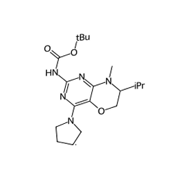 CC(C)C1COc2c(N3C[CH]CC3)nc(NC(=O)OC(C)(C)C)nc2N1C